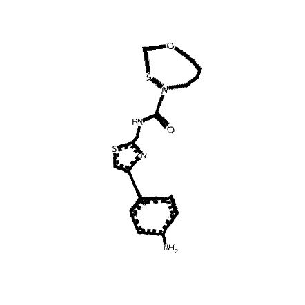 Nc1ccc(-c2csc(NC(=O)N3CCOCS3)n2)cc1